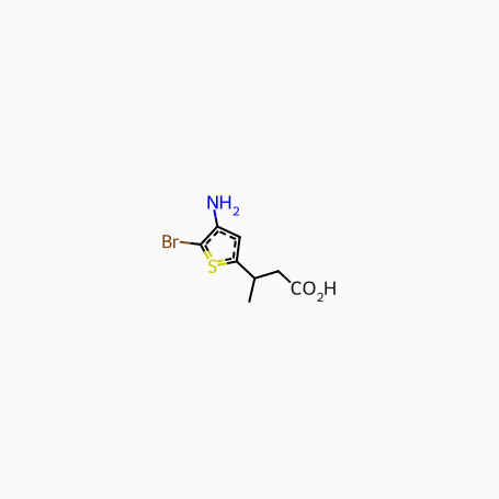 CC(CC(=O)O)c1cc(N)c(Br)s1